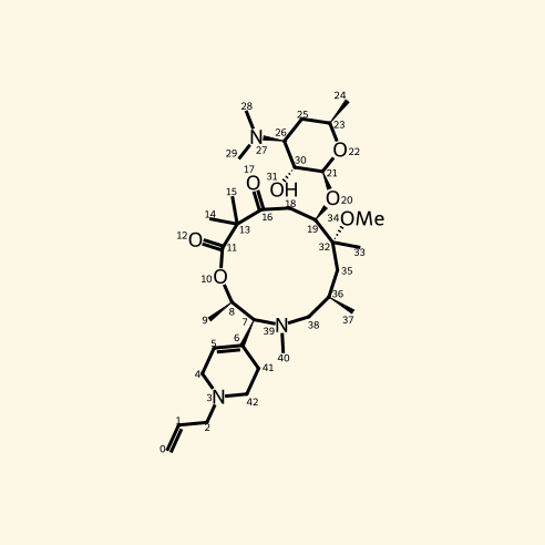 C=CCN1CC=C([C@H]2[C@@H](C)OC(=O)C(C)(C)C(=O)C[C@@H](O[C@@H]3O[C@H](C)C[C@H](N(C)C)[C@H]3O)[C@](C)(OC)C[C@@H](C)CN2C)CC1